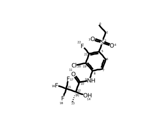 CCS(=O)(=O)c1ccc(NC(=O)[C@@](C)(O)C(F)(F)F)c(Cl)c1F